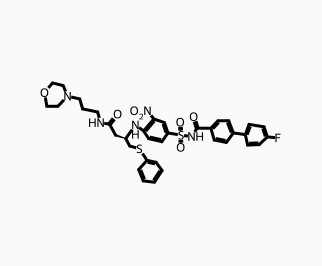 O=C(C[C@H](CSc1ccccc1)Nc1ccc(S(=O)(=O)NC(=O)c2ccc(-c3ccc(F)cc3)cc2)cc1[N+](=O)[O-])NCCCN1CCOCC1